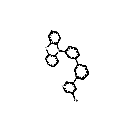 N#Cc1cncc(-c2cccc(-c3cccc(N4c5ccccc5Oc5ccccc54)c3)c2)c1